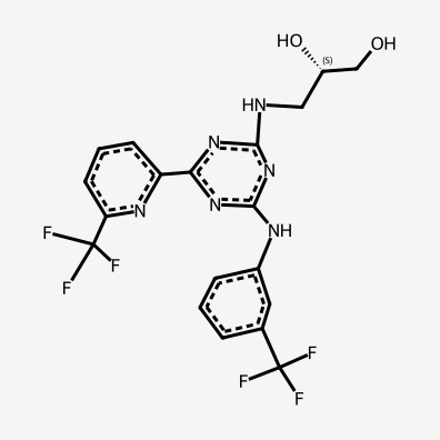 OC[C@@H](O)CNc1nc(Nc2cccc(C(F)(F)F)c2)nc(-c2cccc(C(F)(F)F)n2)n1